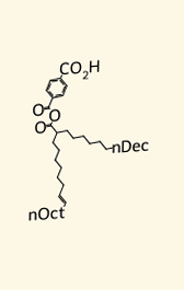 CCCCCCCCC=CCCCCCCC(CCCCCCCCCCCCCCCC)C(=O)OC(=O)c1ccc(C(=O)O)cc1